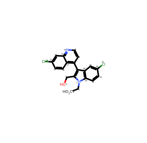 O=C(O)Cn1c(CO)c(-c2ccnc3cc(Cl)ccc23)c2cc(Cl)ccc21